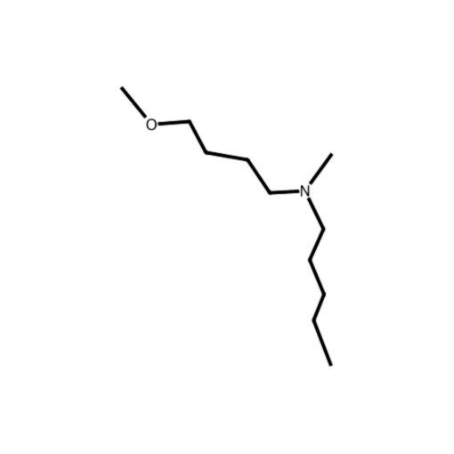 CCCCCN(C)CCCCOC